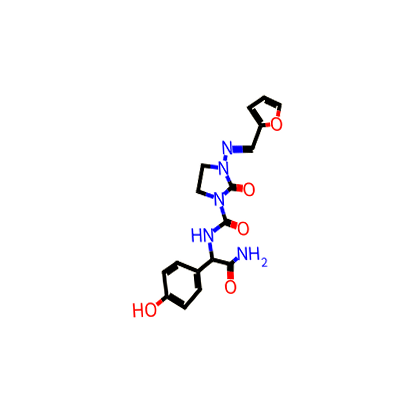 NC(=O)C(NC(=O)N1CCN(N=Cc2ccco2)C1=O)c1ccc(O)cc1